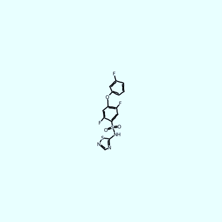 O=S(=O)(Nc1ncns1)c1cc(F)c(Oc2cccc(F)c2)cc1F